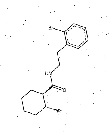 CC(C)[C@@H]1CCCC[C@H]1C(=O)NCCc1ccccc1Br